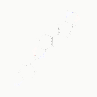 Nc1ccc(-c2nc3cc(-c4ccc5ocnc5c4)ccc3o2)cc1